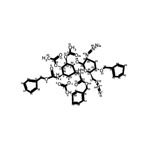 CC(=O)O[C@@H]1[C@@H](NC(=O)OCc2ccccc2)[C@H](OC(C)=O)[C@@H](OC(C)=O)[C@H](OC2O[C@H](CN=[N+]=[N-])[C@@H](OCc3ccccc3)C[C@H]2N=[N+]=[N-])[C@H]1NC(=O)OCc1ccccc1